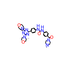 C[C@@H]1COCCN1c1nc(-c2ccc(NC(=O)Nc3ccc(C(=O)N4CCN(C)CC4)cc3)cc2)nc(N2C3CCC2COC3)n1